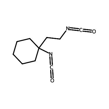 O=C=NCCC1(N=C=O)CCCCC1